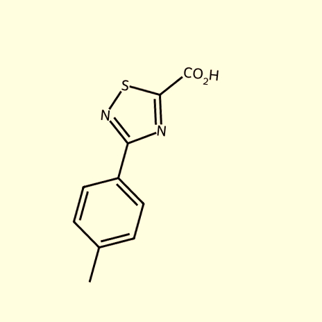 Cc1ccc(-c2nsc(C(=O)O)n2)cc1